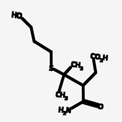 CC(C)(SCCCO)C(CC(=O)O)C(N)=O